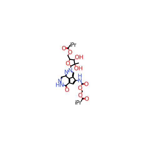 CC(C)C(=O)OCOC(=O)Nc1cc2c(=O)[nH]ncc3nn(C4OC(COC(=O)C(C)C)C(O)C4(C)O)cc1c32